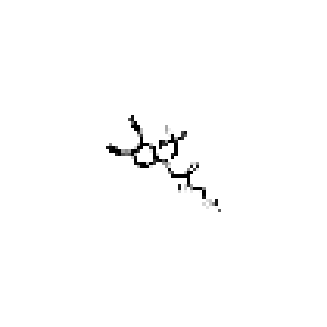 CCNC(=O)CN(CC(F)(F)F)c1ccc(C#N)c(C#N)c1